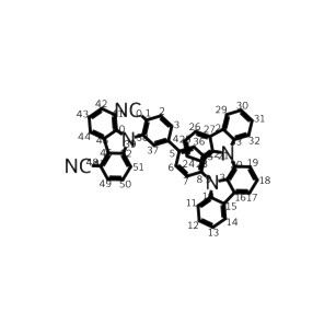 N#Cc1ccc(-c2ccc(-n3c4ccccc4c4cccc(-n5c6ccccc6c6ccccc65)c43)cc2)cc1-n1c2ccccc2c2c(C#N)cccc21